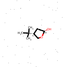 CC(C)(C)[C@H]1CO[C@@H](O)C1